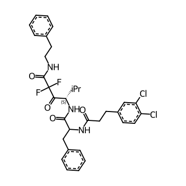 CC(C)[C@H](NC(=O)C(Cc1ccccc1)NC(=O)CCc1ccc(Cl)c(Cl)c1)C(=O)C(F)(F)C(=O)NCCc1ccccc1